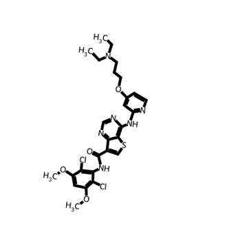 CCN(CC)CCCOc1ccnc(Nc2ncnc3c(C(=O)Nc4c(Cl)c(OC)cc(OC)c4Cl)csc23)c1